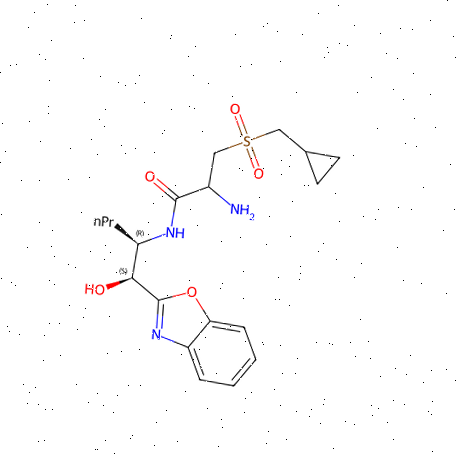 CCC[C@@H](NC(=O)C(N)CS(=O)(=O)CC1CC1)[C@H](O)c1nc2ccccc2o1